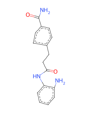 NC(=O)c1ccc(CCC(=O)Nc2ccccc2N)cc1